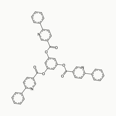 O=C(Oc1cc(OC(=O)c2ccc(-c3ccccc3)nc2)cc(OC(=O)c2ccc(-c3ccccc3)nc2)c1)c1ccc(-c2ccccc2)nc1